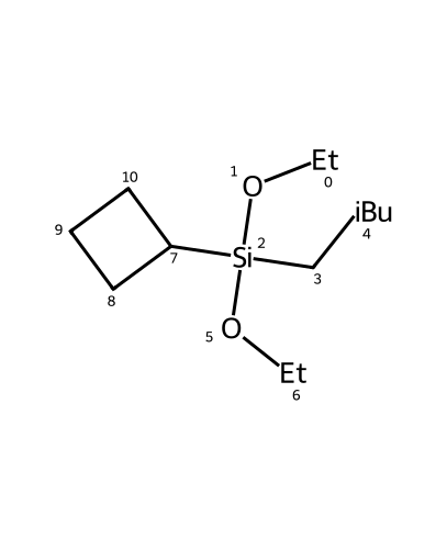 CCO[Si](CC(C)CC)(OCC)C1CCC1